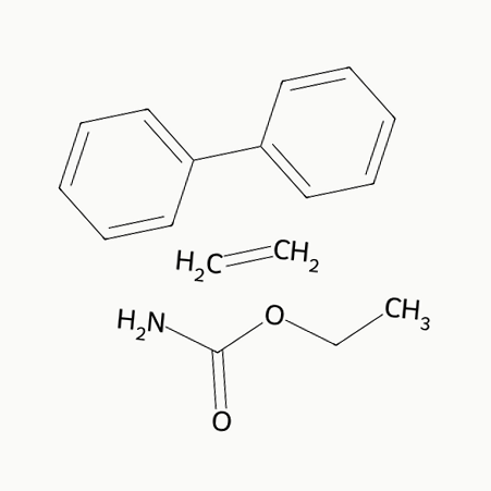 C=C.CCOC(N)=O.c1ccc(-c2ccccc2)cc1